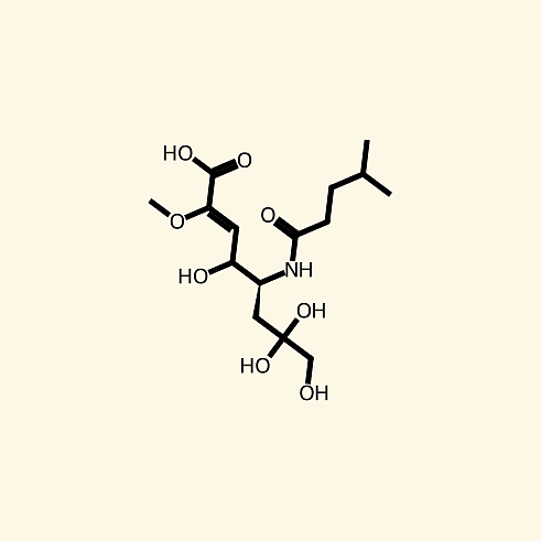 CO/C(=C\C(O)[C@H](CC(O)(O)CO)NC(=O)CCC(C)C)C(=O)O